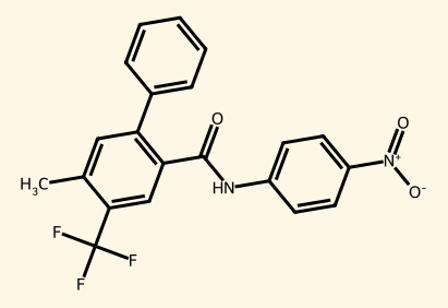 Cc1cc(-c2ccccc2)c(C(=O)Nc2ccc([N+](=O)[O-])cc2)cc1C(F)(F)F